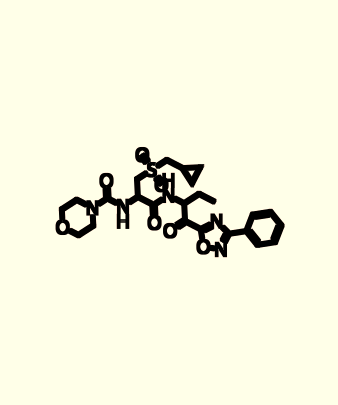 CCC(NC(=O)C(CS(=O)(=O)CC1CC1)NC(=O)N1CCOCC1)C(=O)c1nc(-c2ccccc2)no1